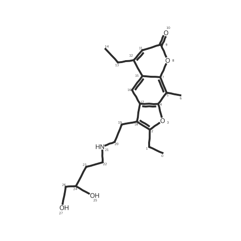 CCc1oc2c(C)c3oc(=O)cc(CC)c3cc2c1CCNCCC(O)CO